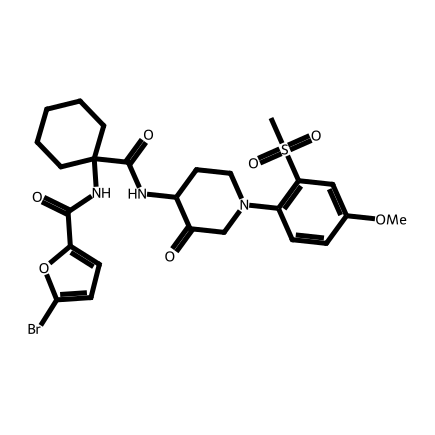 COc1ccc(N2CCC(NC(=O)C3(NC(=O)c4ccc(Br)o4)CCCCC3)C(=O)C2)c(S(C)(=O)=O)c1